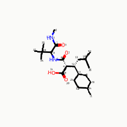 CNC(=O)[C@@H](NC(=O)[C@@H](C(=O)O)[C@H](CC(C)C)C1CCC(C)CC1)C(C)(C)C